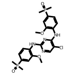 COc1cc(P(C)(C)=O)ccc1Nc1ncc(Cl)c(Nc2ccc(P(C)(C)=O)cc2OC)n1